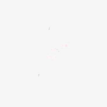 CCCCCCCC/C=C\CCCCCCCC(=O)OCCN(CCO)C(=O)CCCCCCC/C=C\CCCCCCCC